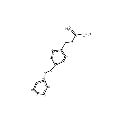 C=C(CCc1ccc(CCc2ccccc2)cc1)C(=O)O